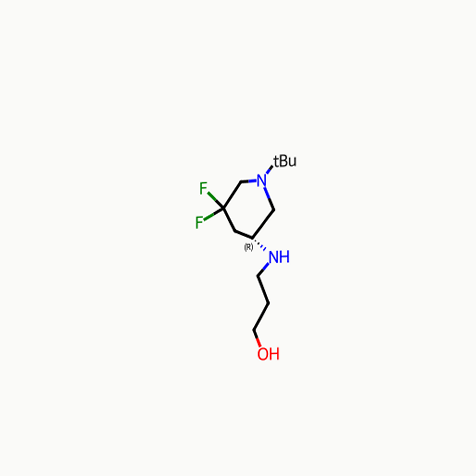 CC(C)(C)N1C[C@H](NCCCO)CC(F)(F)C1